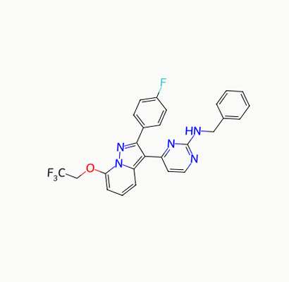 Fc1ccc(-c2nn3c(OCC(F)(F)F)cccc3c2-c2ccnc(NCc3ccccc3)n2)cc1